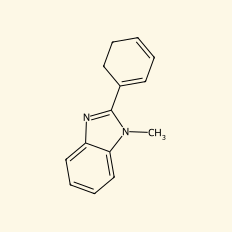 Cn1c(C2=CC=CCC2)nc2ccccc21